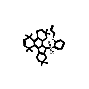 C=CCOc1ccccc1[Si](CC)(CC)C1C2=C(CCC(C)(C)C2)C2=C3C(=C4CCC(C)(C)CC4C21)C(C)(C)C=CC3(C)C